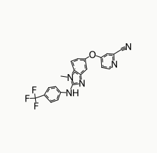 Cn1c(Nc2ccc(C(F)(F)F)cc2)nc2cc(Oc3ccnc(C#N)c3)ccc21